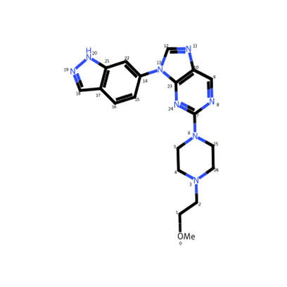 COCCN1CCN(c2ncc3ncn(-c4ccc5cn[nH]c5c4)c3n2)CC1